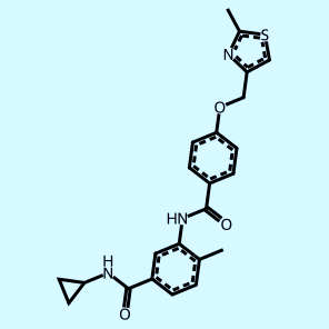 Cc1nc(COc2ccc(C(=O)Nc3cc(C(=O)NC4CC4)ccc3C)cc2)cs1